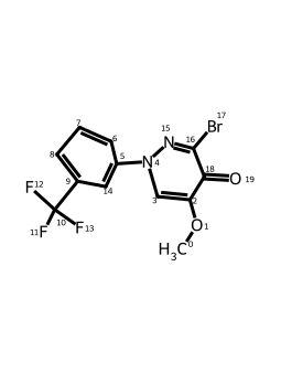 COc1cn(-c2cccc(C(F)(F)F)c2)nc(Br)c1=O